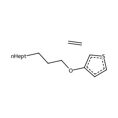 C=C.CCCCCCCCCCOc1ccsc1